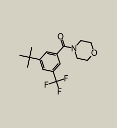 CC(C)(C)c1cc(C(=O)N2CCOCC2)cc(C(F)(F)F)c1